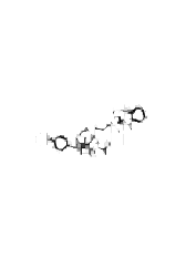 Cl.Cl.O.O=C(NCCCN1CCN(Cc2ccc(Cl)cc2)CC1)Nc1ccccc1Cl